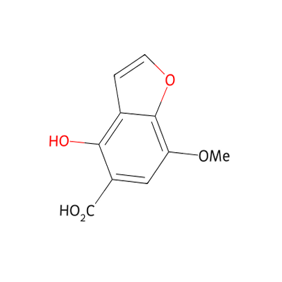 COc1cc(C(=O)O)c(O)c2ccoc12